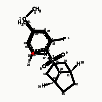 COc1cc(F)c(S(=O)(=O)N2[C@@H]3CC[C@H]2C[C@H](N2CCC(C)CC2)C3)c(F)c1